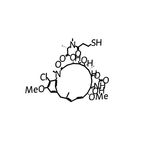 COc1cc2cc(c1Cl)N(C)C(=O)C[C@H](OC(=O)[C@H](C)N(C)C(=O)CCS)[C@@H]1O[C@H]1[C@H](C)[C@@H]1C[C@@](O)(NC(=O)O1)[C@H](OC)/C=C/C=C(\C)C2